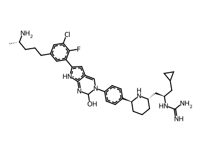 C[C@H](N)CCCc1cc(Cl)c(F)c(-c2cc3c([nH]2)=NC(O)N(c2ccc([C@@H]4CCC[C@@H](C[C@@H](CC5CC5)NC(=N)N)N4)cc2)C=3)c1